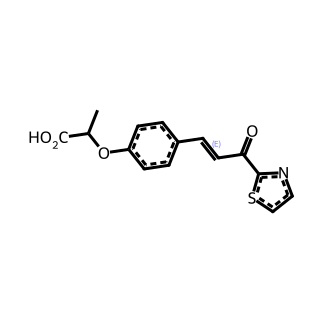 CC(Oc1ccc(/C=C/C(=O)c2nccs2)cc1)C(=O)O